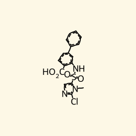 Cn1c(S(=O)(=O)Nc2cc(-c3ccccc3)ccc2C(=O)O)cnc1Cl